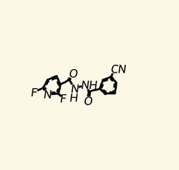 N#Cc1cccc(C(=O)NNC(=O)c2ccc(F)nc2F)c1